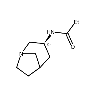 CCC(=O)N[C@H]1CC2CCN(C2)C1